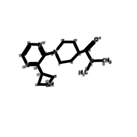 CN(C)C(=O)C1CCN(c2nccnc2C2CNC2)CC1